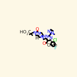 COC(=O)C1=C(CN2CCN3C(=O)N(CC(C)(C)C(=O)O)C[C@@H]3C2)NC(c2nccn2C)=N[C@@H]1c1ccc(F)cc1Cl